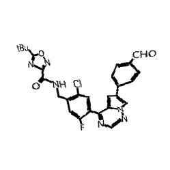 CC(C)(C)c1nc(C(=O)NCc2cc(F)c(-c3ncnn4cc(-c5ccc(C=O)cc5)cc34)cc2Cl)no1